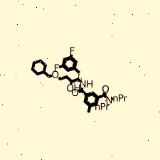 CCCN(CCC)C(=O)c1cc(C)cc(C(=O)N[C@@H](Cc2cc(F)cc(F)c2)[C@@H](O)CCOCC2CCCCC2)c1